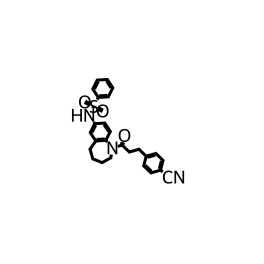 N#Cc1ccc(CCC(=O)N2CCCCc3cc(NS(=O)(=O)c4ccccc4)ccc32)cc1